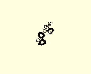 O=[N+]([O-])c1cccnc1Oc1ccc2oc3ccccc3c2c1